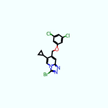 Clc1cc(Cl)cc(OCc2cc3nnc(Br)n3cc2C2CC2)c1